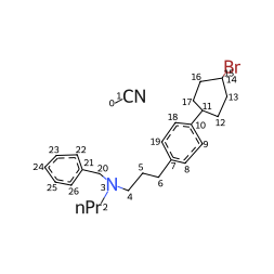 CC#N.CCCN(CCCc1ccc(C2CCC(Br)CC2)cc1)Cc1ccccc1